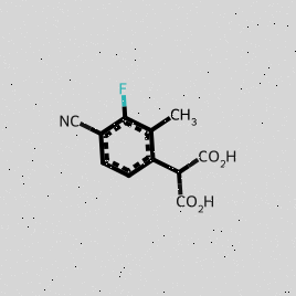 Cc1c(C(C(=O)O)C(=O)O)ccc(C#N)c1F